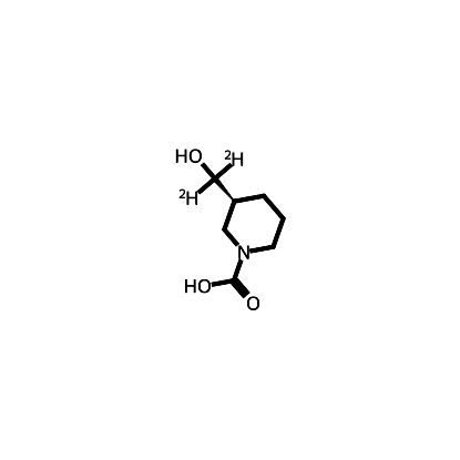 [2H]C([2H])(O)[C@H]1CCCN(C(=O)O)C1